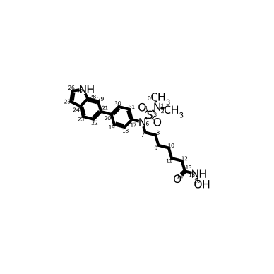 CN(C)S(=O)(=O)N(CCCCCCC(=O)NO)c1ccc(-c2ccc3cc[nH]c3c2)cc1